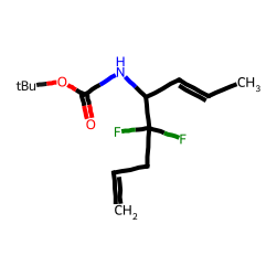 C=CCC(F)(F)C(C=CC)NC(=O)OC(C)(C)C